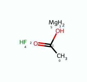 CC(=O)O.F.[MgH2]